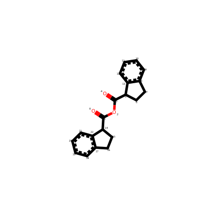 O=C(OC(=O)C1CCc2ccccc21)C1CCc2ccccc21